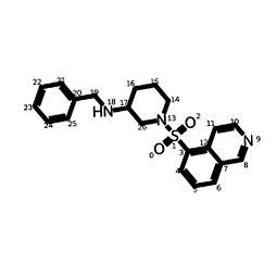 O=S(=O)(c1cccc2cnccc12)N1CCCC(NCc2ccccc2)C1